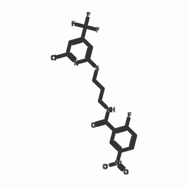 O=C(NCCCSc1cc(C(F)(F)F)cc(Cl)n1)c1cc([N+](=O)[O-])ccc1F